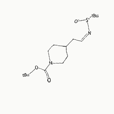 CC(C)(C)OC(=O)N1CCC(C/C=N\[S+]([O-])C(C)(C)C)CC1